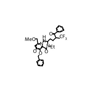 CCN1C(=O)c2c(OCc3ccccc3)c(=O)cc(COC)n2NC1CCC(CC(F)(F)F)C(=O)c1ccccc1